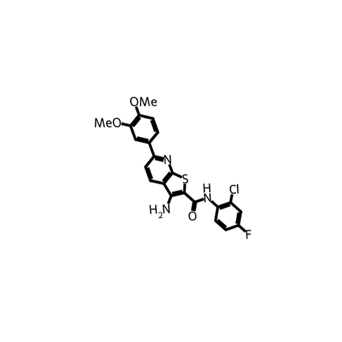 COc1ccc(-c2ccc3c(N)c(C(=O)Nc4ccc(F)cc4Cl)sc3n2)cc1OC